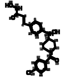 Cl.O=C(C=Cc1ccc(NC2CCN(C(=O)c3ccc(Cl)cc3)CC2)nc1)NO